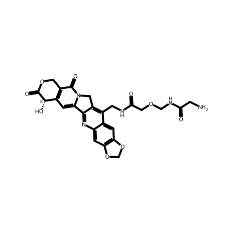 NCC(=O)NCOCC(=O)NCc1c2c(nc3cc4c(cc13)OCO4)-c1cc3c(c(=O)n1C2)COC(=O)[C@H]3O